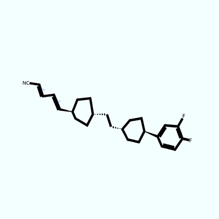 N#C/C=C/C=C/[C@H]1CC[C@H](CC[C@H]2CC[C@H](c3ccc(F)c(F)c3)CC2)CC1